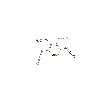 CCc1c(N=C=O)ccc(N=C=O)c1CC